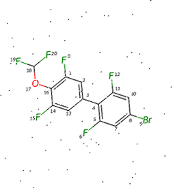 Fc1cc(-c2c(F)cc(Br)cc2F)cc(F)c1OC(F)F